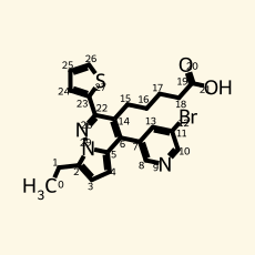 CCc1ccc2c(-c3cncc(Br)c3)c(CCCCC(=O)O)c(-c3cccs3)nn12